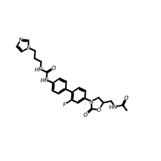 CC(=O)NCC1CN(c2ccc(-c3ccc(NC(=O)NCCCn4ccnc4)cc3)c(F)c2)C(=O)O1